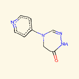 O=C1CN(c2ccncc2)C=NN1